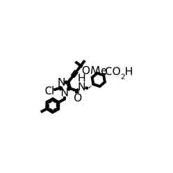 COC(C)(C)C#Cc1nc(Cl)n(Cc2ccc(C)cc2)c1C(=O)NC[C@H]1CC[C@H](C(=O)O)CC1